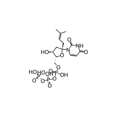 CC(C)=CC[C@]1(n2ccc(=O)[nH]c2=O)C[C@H](O)[C@@H](COP(=O)(O)OP(=O)(O)OP(=O)(O)O)O1